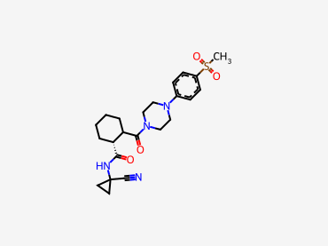 CS(=O)(=O)c1ccc(N2CCN(C(=O)C3CCCC[C@H]3C(=O)NC3(C#N)CC3)CC2)cc1